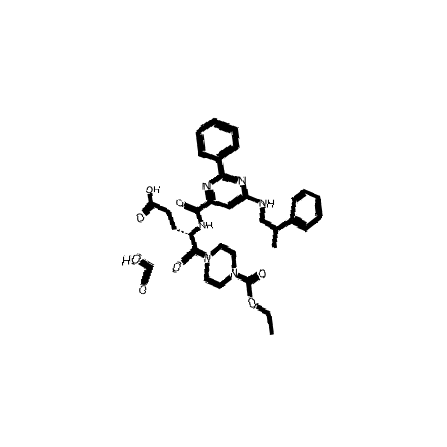 CCOC(=O)N1CCN(C(=O)[C@H](CCC(=O)O)NC(=O)c2cc(NCC(C)c3ccccc3)nc(-c3ccccc3)n2)CC1.O=CO